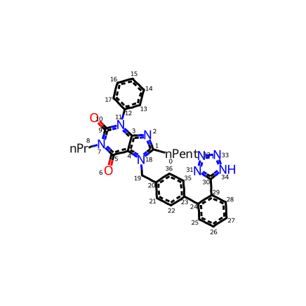 CCCCCc1nc2c(c(=O)n(CCC)c(=O)n2-c2ccccc2)n1Cc1ccc(-c2ccccc2-c2nnn[nH]2)cc1